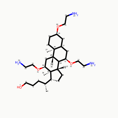 C[C@H](CCCO)[C@H]1CC[C@H]2C3[C@H](OCCN)CC4C[C@H](OCCN)CC[C@]4(C)[C@H]3C[C@H](OCCN)[C@]12C